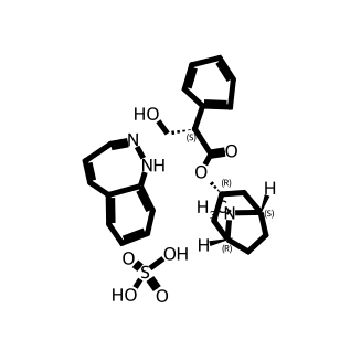 C1=Cc2ccccc2NN=C1.CN1[C@@H]2CC[C@H]1C[C@@H](OC(=O)[C@H](CO)c1ccccc1)C2.O=S(=O)(O)O